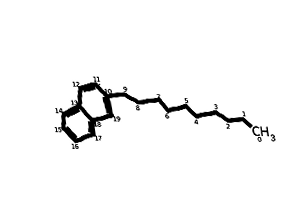 CCCCCCCCCCc1[c]cc2ccccc2c1